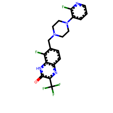 O=c1[nH]c2c(F)c(CN3CCN(c4cccnc4F)CC3)ccc2nc1C(F)(F)F